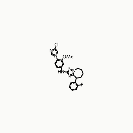 COc1cc(Nc2nc3n(n2)CCCCC3c2ccccc2F)ccc1-n1cnc(Cl)c1